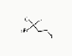 [CH2]C(Cl)(CCC)CCI